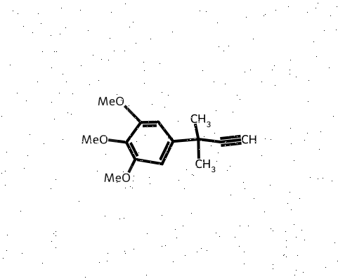 C#CC(C)(C)c1cc(OC)c(OC)c(OC)c1